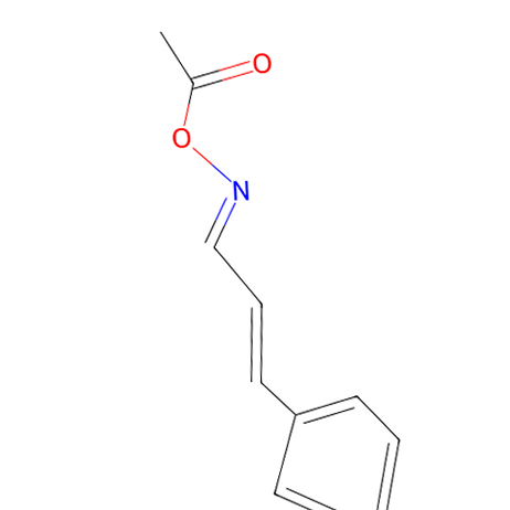 CC(=O)ON=CC=Cc1ccccc1